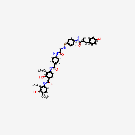 COc1c(NC(=O)c2ccc(NC(=O)c3ccc(NC(=O)CNSc4ccc(NC(=O)/C(C)=C/c5ccc(O)cc5)cc4)cc3)c(OC)c2O)ccc(C(=O)O)c1O